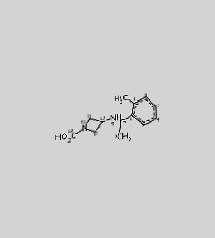 Cc1ccccc1C(C)NC1CN(C(=O)O)C1